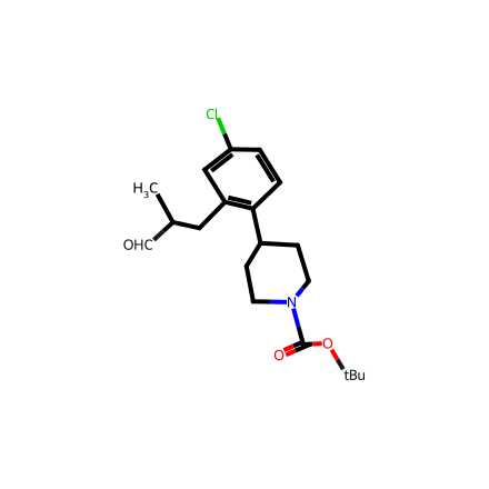 CC(C=O)Cc1cc(Cl)ccc1C1CCN(C(=O)OC(C)(C)C)CC1